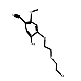 CNc1cc(OCCOCCO)c(O)cc1C#N